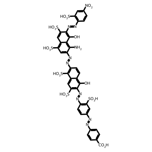 Nc1c(N=Nc2ccc3c(O)c(N=Nc4ccc(N=Nc5ccc(C(=O)O)cc5)cc4S(=O)(=O)O)c(S(=O)(=O)O)cc3c2S(=O)(=O)O)cc(S(=O)(=O)O)c2cc(S(=O)(=O)O)c(N=Nc3ccc([N+](=O)[O-])cc3S(=O)(=O)O)c(O)c12